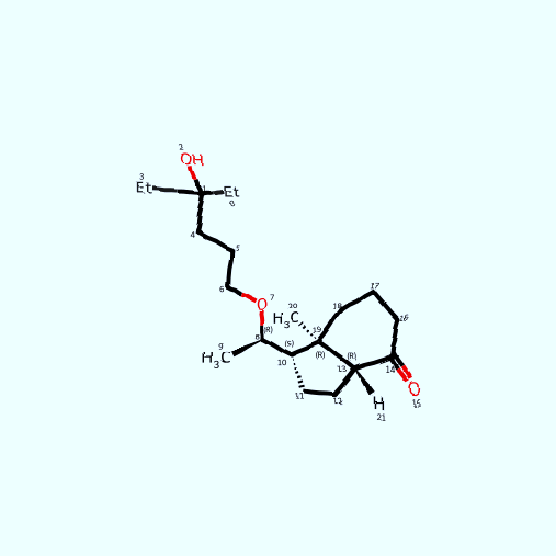 CCC(O)(CC)CCCO[C@H](C)[C@H]1CC[C@H]2C(=O)CCC[C@]12C